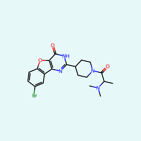 CC(C(=O)N1CCC(c2nc3c(oc4ccc(Br)cc43)c(=O)[nH]2)CC1)N(C)C